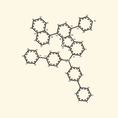 c1ccc(-c2ccc(N(c3ccc(-c4ccccc4)cc3)c3cccc4c3oc3c(-c5cccc6ccccc56)ccc(-c5ccccc5)c34)cc2)cc1